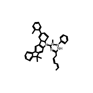 C/C=C\C=C/CC1=NC(N2c3cc4c(cc3C3C=C(c5ccccc5C)C=CC32)-c2ccccc2C4(C)C)N(C)N(c2ccccc2)N1